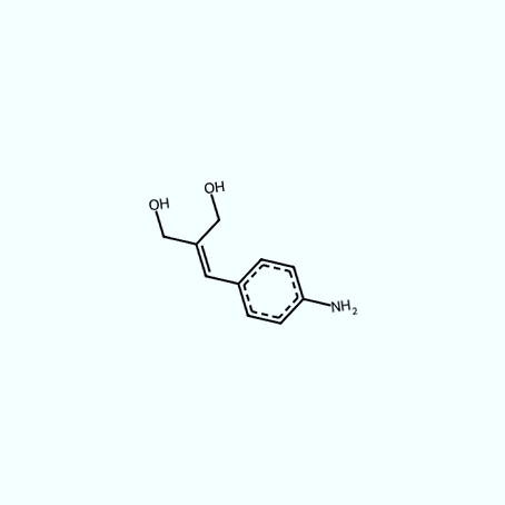 Nc1ccc(C=C(CO)CO)cc1